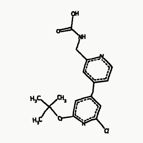 CC(C)(C)Oc1cc(-c2ccnc(CNC(=O)O)c2)cc(Cl)n1